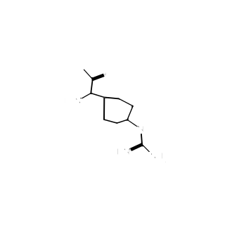 CC(=O)C(N)C1CCC(NC(=N)N)CC1